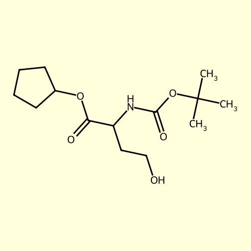 CC(C)(C)OC(=O)NC(CCO)C(=O)OC1CCCC1